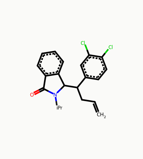 C=CCC(c1ccc(Cl)c(Cl)c1)C1c2ccccc2C(=O)N1C(C)C